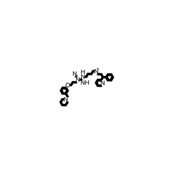 CN(CCCCNC(=N)N(C#N)CCCOc1cccc(CN2CCCCC2)c1)CCC(c1ccccc1)c1ccccn1